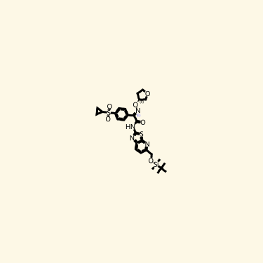 CC(C)(C)[Si](C)(C)OCc1ccc2nc(NC(=O)/C(=N/O[C@@H]3CCOC3)c3ccc(S(=O)(=O)C4CC4)cc3)sc2n1